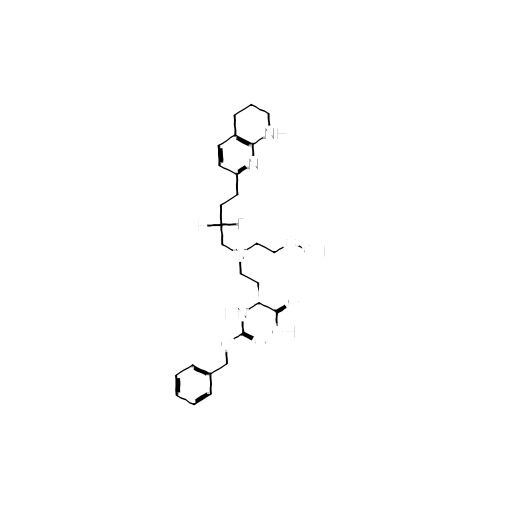 COCCN(CC[C@H](NC(=O)OCc1ccccc1)C(=O)O)CC(F)(F)CCc1ccc2c(n1)NCCC2